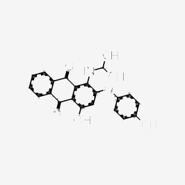 Cc1ccc(Oc2cc(O)c3c(c2NC(C)C)C(=O)c2ccccc2C3=O)cc1